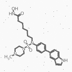 CN1CCN(S(=O)(=O)N(CCCCCCC(=O)NO)c2ccc(-c3ccc4[nH]ccc4c3)cc2)CC1